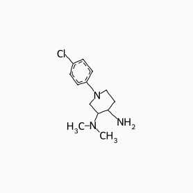 CN(C)C1CN(c2ccc(Cl)cc2)CCC1N